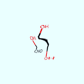 O=CO.OCCO